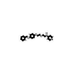 c1ccc(COc2ccc(OCCOCCNc3ccncc3)cc2)cc1